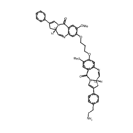 COc1cc2c(cc1OCCCOc1cc3c(cc1OC)C(=O)N1C=C(c4ccc(CCN)cc4)C[C@H]1C=N3)N=C[C@@H]1CC(c3ccccc3)=CN1C2=O